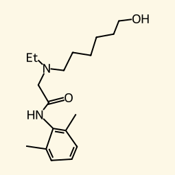 CCN(CCCCCCO)CC(=O)Nc1c(C)cccc1C